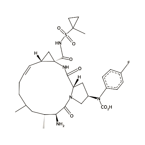 CC1CC/C=C\[C@@H]2C[C@@]2(C(=O)NS(=O)(=O)C2(C)CC2)NC(=O)[C@@H]2C[C@@H](N(C(=O)O)c3ccc(F)cc3)CN2C(=O)[C@@H](N)[C@H](C)C1